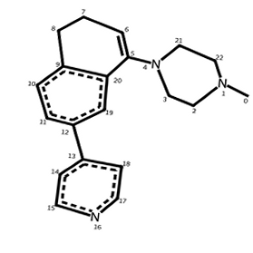 CN1CCN(C2=CCCc3ccc(-c4ccncc4)cc32)CC1